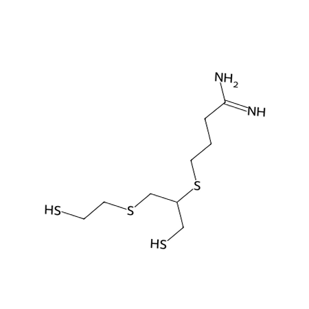 N=C(N)CCCSC(CS)CSCCS